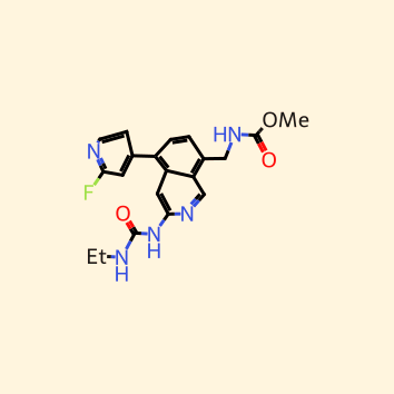 CCNC(=O)Nc1cc2c(-c3ccnc(F)c3)ccc(CNC(=O)OC)c2cn1